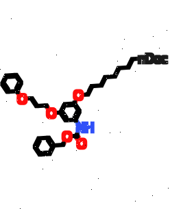 CCCCCCCCCCCCCCCCCCOc1cc(NC(=O)OCc2ccccc2)cc(OCCCOc2ccccc2)c1